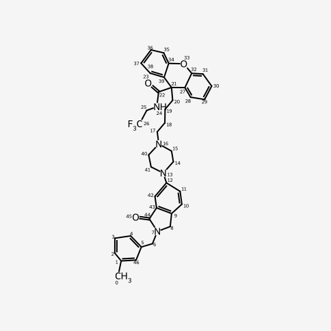 Cc1cccc(CN2Cc3ccc(N4CCN(CCCCC5(C(=O)NCC(F)(F)F)c6ccccc6Oc6ccccc65)CC4)cc3C2=O)c1